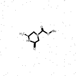 C[C@H]1CN(C(=O)OC(C)(C)C)CC(=O)N1